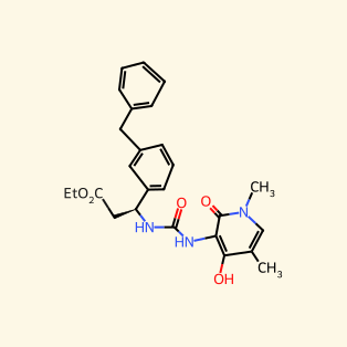 CCOC(=O)C[C@H](NC(=O)Nc1c(O)c(C)cn(C)c1=O)c1cccc(Cc2ccccc2)c1